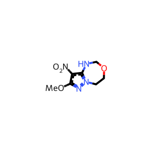 COc1nn2c(c1[N+](=O)[O-])NCOCC2